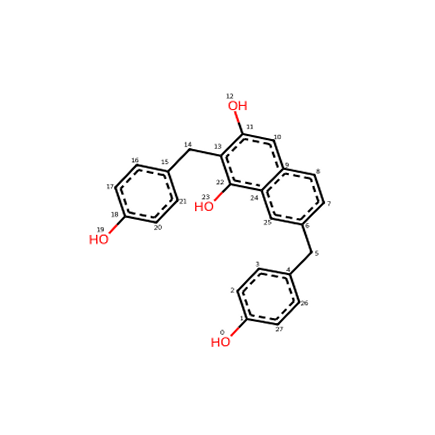 Oc1ccc(Cc2ccc3cc(O)c(Cc4ccc(O)cc4)c(O)c3c2)cc1